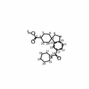 COC(=O)C1CCC2(CCc3ccc(C(=O)N4CCCCC4)cc32)CC1